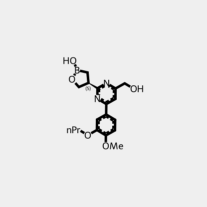 CCCOc1cc(-c2cc(CO)nc([C@H]3COB(O)C3)n2)ccc1OC